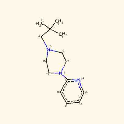 CC(C)(C)CN1CCN(c2ccccn2)CC1